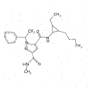 CCCCC1C(CC)C1NC(=O)c1cc(C(=O)NC)nn1C(C)c1ccccc1